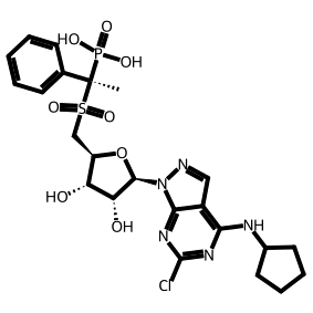 C[C@](c1ccccc1)(P(=O)(O)O)S(=O)(=O)C[C@H]1O[C@@H](n2ncc3c(NC4CCCC4)nc(Cl)nc32)[C@H](O)[C@@H]1O